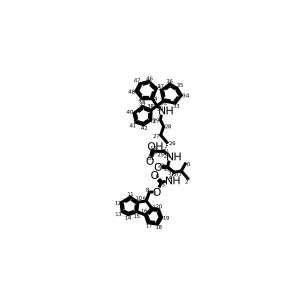 CC(C)[C@H](NC(=O)OCC1c2ccccc2-c2ccccc21)C(=O)N[C@@H](CCCCNC(c1ccccc1)(c1ccccc1)c1ccccc1)C(=O)O